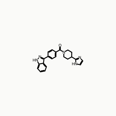 O=C(c1ccc(-c2n[nH]c3ccccc23)cc1)N1CCC(c2ncc[nH]2)CC1